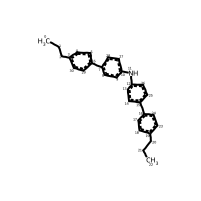 CCCc1ccc(-c2ccc(Nc3ccc(-c4ccc(CCC)cc4)cc3)cc2)cc1